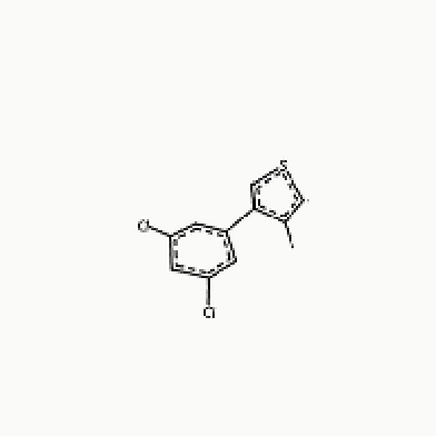 Cc1[c]scc1-c1cc(Cl)cc(Cl)c1